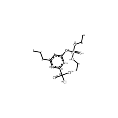 CCCc1cc(OP(=S)(OCC)OCC)nc(C(Cl)(Cl)Cl)n1